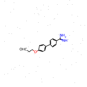 N=C(N)c1ccc(-c2ccc(OCCC=O)cc2)cc1